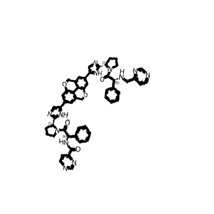 O=C(N[C@@H](C(=O)N1CCC[C@H]1c1ncc(-c2cc3c4c(c2)OCc2cc(-c5cnc([C@@H]6CCCN6C(=O)[C@H](NCc6ccncn6)c6ccccc6)[nH]5)cc(c2-4)OC3)[nH]1)c1ccccc1)c1ccncn1